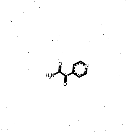 NC(=O)C(=O)c1ccncc1